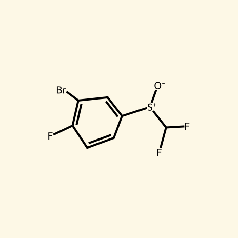 [O-][S+](c1ccc(F)c(Br)c1)C(F)F